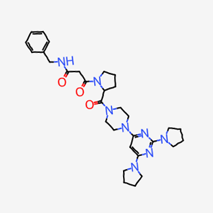 O=C(CC(=O)N1CCCC1C(=O)N1CCN(c2cc(N3CCCC3)nc(N3CCCC3)n2)CC1)NCc1ccccc1